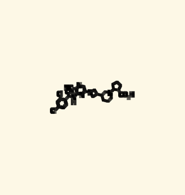 CC(Nc1nc(N2CC(C3CCCN(C4CCCC4C(=O)O)C3)C2)cnc1C#N)c1ccc(Cl)cc1Cl